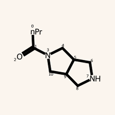 CCCC(=O)N1CC2CNCC2C1